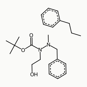 CCCc1ccccc1.CN(Cc1ccccc1)N(CCO)C(=O)OC(C)(C)C